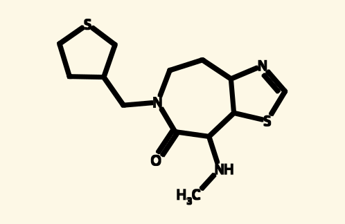 CNC1C(=O)N(CC2CCSC2)CCC2N=CSC21